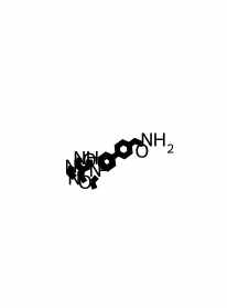 CC1CN(c2ccc(C3CCC(CC(N)=O)CC3)cc2)C(=O)c2c(N)ncnc2O1